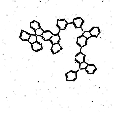 c1ccc(-n2c3ccccc3c3cc(-c4ccc5c(c4)c4ccccc4n5-c4cccc(-c5cccc(-c6nc7ccccc7c7cc8c(cc67)-c6ccccc6C86c7ccccc7-c7ccccc76)c5)c4)ccc32)cc1